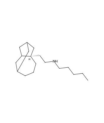 CCCCCNCC[C@]12CCCC3CC(CC1C3)C2